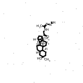 C/C(=N/N=N)NCC(=O)[C@]12C[C@H]([C@H]3[C@@H]4CC[C@@H]5C[C@](C)(O)CC[C@@H]5[C@H]4CC[C@@]31C)[C@@H]2C